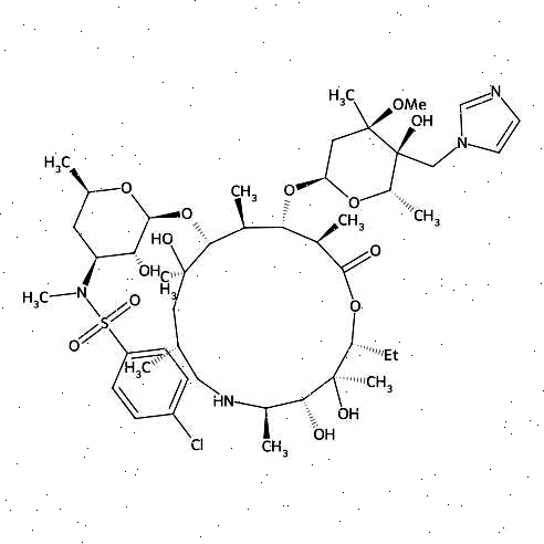 CC[C@H]1OC(=O)[C@H](C)[C@@H](O[C@H]2C[C@@](C)(OC)[C@](O)(Cn3ccnc3)[C@H](C)O2)[C@H](C)[C@@H](O[C@@H]2O[C@H](C)C[C@H](N(C)S(=O)(=O)c3ccc(Cl)cc3)[C@H]2O)[C@](C)(O)C[C@@H](C)CN[C@H](C)[C@@H](O)[C@]1(C)O